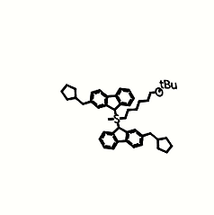 CC(C)(C)OCCCCCCS(C)(C1c2ccccc2-c2ccc(CC3CCCC3)cc21)C1c2ccccc2-c2ccc(CC3CCCC3)cc21